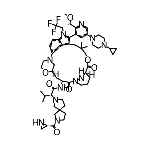 CO[C@@H](C)c1ncc(N2CCN(C3CC3)CC2)cc1-c1c2c3cc(ccc3n1CC(F)(F)F)N1CCO[C@@H](C[C@H](NC(=O)[C@H](C(C)C)N3CC[C@]4(CCN(C(=O)[C@H]5CN5)C4)C3)C(=O)N3CCC[C@H](N3)C(=O)OCC(C)(C)C2)C1